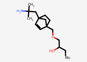 CC(C)(C)CC(O)COCC12C=CC(CC(C)(C)N)(CC1)C2